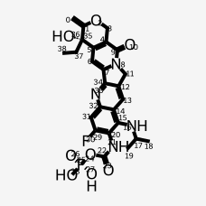 C=C1OCc2c(cc3n(c2=O)Cc2cc4c(NC(C)C)c(NC(=O)OP(=O)(O)O)c(F)cc4nc2-3)[C@@]1(O)CC